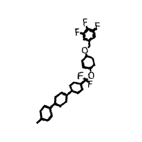 CC1CCC(C2CCC(C3CCC(C(F)(F)OC4CCC(OCc5cc(F)c(F)c(F)c5)CC4)CC3)CC2)CC1